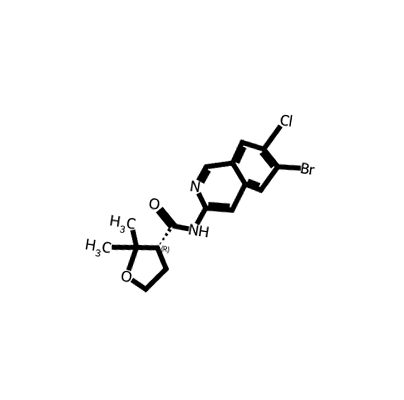 CC1(C)OCC[C@H]1C(=O)Nc1cc2cc(Br)c(Cl)cc2cn1